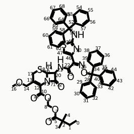 CCC(C)(C)C(=O)OCOC(=O)C1=C(COC)CS[C@H]2C(NC(=O)/C(=N\OC(c3ccccc3)(c3ccccc3)c3ccccc3)c3csc(NC(c4ccccc4)(c4ccccc4)c4ccccc4)n3)C(=O)N12